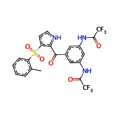 Cc1ccccc1S(=O)(=O)c1cc[nH]c1C(=O)c1cc(NC(=O)C(F)(F)F)cc(NC(=O)C(F)(F)F)c1